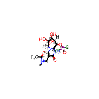 CN(CC1=CN2C(=C(OP(=O)(Cl)Cl)[C@H]3O[C@@H]2[C@@H](O)C3O)NC1=O)C(=O)C(F)(F)F